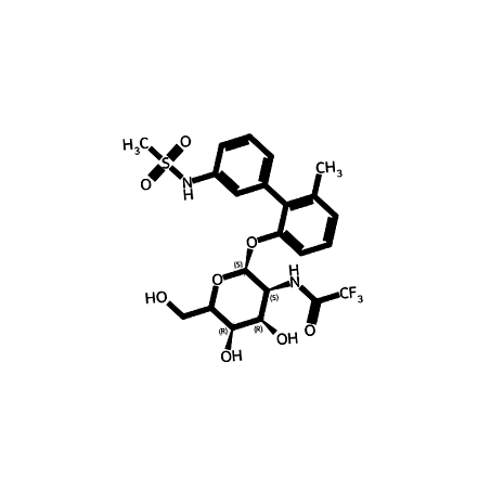 Cc1cccc(O[C@@H]2OC(CO)[C@H](O)[C@H](O)[C@@H]2NC(=O)C(F)(F)F)c1-c1cccc(NS(C)(=O)=O)c1